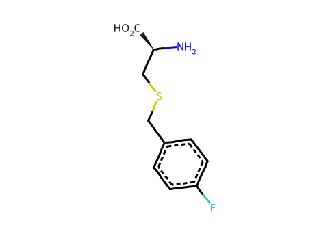 N[C@@H](CSCc1ccc(F)cc1)C(=O)O